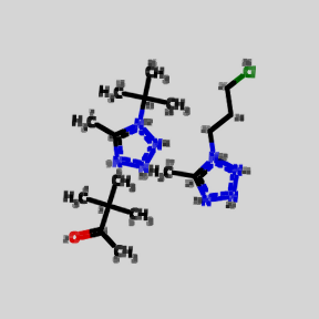 CC(=O)C(C)(C)C.Cc1nnnn1C(C)(C)C.Cc1nnnn1CCCCl